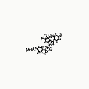 COc1ccc(C2(NC(=O)c3nn(-c4ccc(F)cc4F)c4c3C[C@@H]3C[C@H]43)CC2)cc1